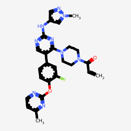 C=CC(=O)N1CCN(c2nc(Nc3cnn(C)c3)ncc2-c2ccc(Oc3nccc(C)n3)c(F)c2)CC1